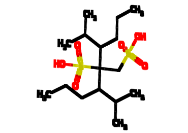 CCCC(C(C)C)C(CS(=O)(=O)O)(C(CCC)C(C)C)S(=O)(=O)O